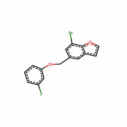 Fc1cccc(OCc2cc(Br)c3occc3c2)c1